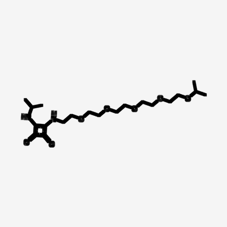 CC(C)Nc1c(NCCOCCOCCOCCOCCOC(C)C)c(=O)c1=O